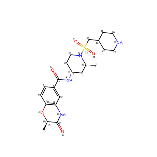 C[C@@H]1C[C@H](NC(=O)c2ccc3c(c2)NC(=O)[C@@H](C)O3)CCN1S(=O)(=O)CC1CCNCC1